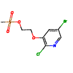 CS(=O)(=O)OCCOc1cc(Br)cnc1Cl